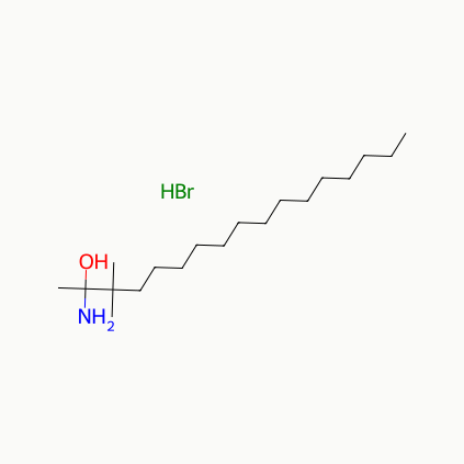 Br.CCCCCCCCCCCCCCC(C)(C)C(C)(N)O